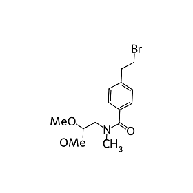 COC(CN(C)C(=O)c1ccc(CCBr)cc1)OC